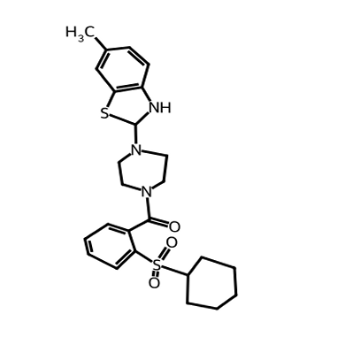 Cc1ccc2c(c1)SC(N1CCN(C(=O)c3ccccc3S(=O)(=O)C3CCCCC3)CC1)N2